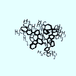 CC(C)(C)c1ccc(N2c3cc4c(oc5ccccc54)c4c3B(c3c2oc2cc5c(cc32)C(C)(C)CCC5(C)C)N(c2ccc3c(c2)C(C)(C)CCC3(C)C)c2ccc3c(oc5cc6c(cc53)C(C)(C)CCC6(C)C)c2-4)c(-c2ccccc2)c1